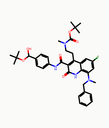 CN(CCc1c(C(=O)Nc2ccc(C(O)OC(C)(C)C)cc2)c(=O)[nH]c2c(N(C)Cc3ccccc3)cc(F)cc12)C(=O)OC(C)(C)C